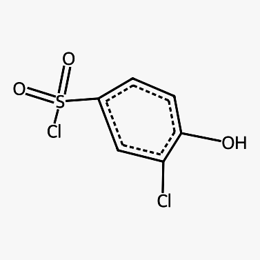 O=S(=O)(Cl)c1ccc(O)c(Cl)c1